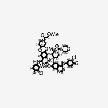 COCC(=O)N1CCC(Oc2cc3c(Nc4ccc(F)c(Cl)c4)ncnc3cc2OC)CC1.COc1cc2ncnc(Nc3ccc(F)c(Cl)c3)c2cc1OC1CCN(C(=O)N2CCOCC2)CC1